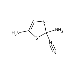 N#[N+]C1(N)NC=C(N)S1